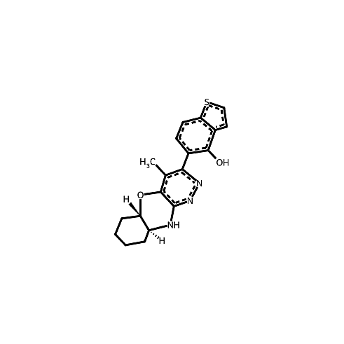 Cc1c(-c2ccc3sccc3c2O)nnc2c1O[C@H]1CCCC[C@@H]1N2